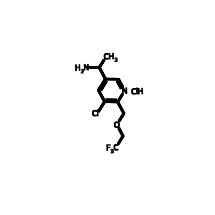 CC(N)c1cnc(COCC(F)(F)F)c(Cl)c1.Cl